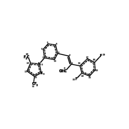 O=CC(=Cc1cccc(-n2nc(C(F)(F)F)cc2C(F)(F)F)c1)c1cc(F)ccc1F